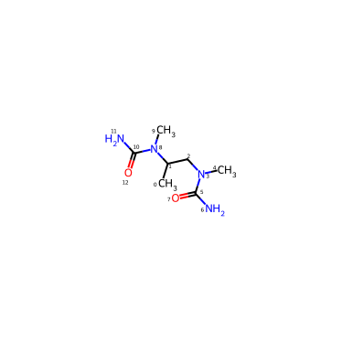 CC(CN(C)C(N)=O)N(C)C(N)=O